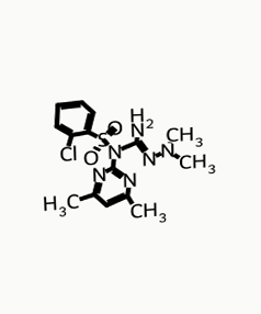 Cc1cc(C)nc(N(C(N)=NN(C)C)S(=O)(=O)c2ccccc2Cl)n1